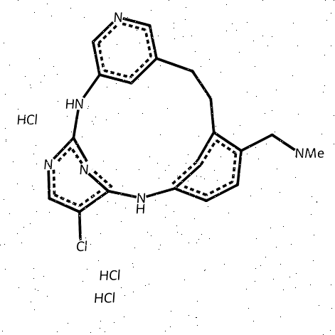 CNCc1ccc2cc1CCc1cncc(c1)Nc1ncc(Cl)c(n1)N2.Cl.Cl.Cl